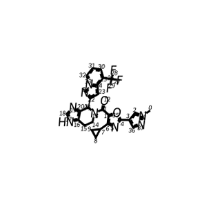 Cn1cc(-c2nc(C3CC3)c(C(=O)N3CCc4[nH]cnc4[C@H]3c3cc4c(C(F)(F)F)cccn4n3)o2)cn1